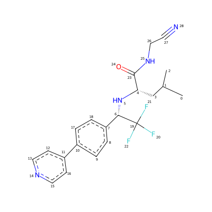 CC(C)C[C@H](N[C@@H](c1ccc(-c2ccncc2)cc1)C(F)(F)F)C(=O)NCC#N